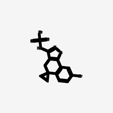 CC(C)S(=O)(=O)Nc1noc2c1CC1(CC1)c1ccc(Br)cc1-2